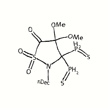 CCCCCCCCCCN1C([PH2]=S)([PH2]=S)C(OC)(OC)C(=O)S1(=O)=O